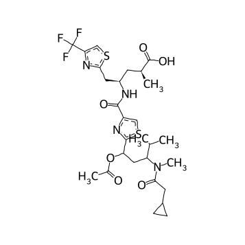 CC(=O)OC(CC(C(C)C)N(C)C(=O)CC1CC1)c1nc(C(=O)N[C@@H](Cc2nc(C(F)(F)F)cs2)C[C@H](C)C(=O)O)cs1